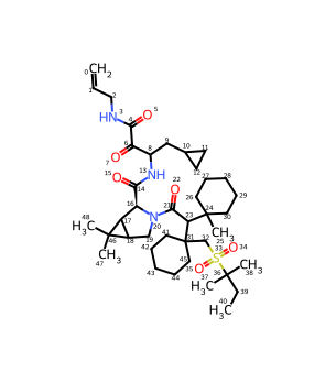 C=CCNC(=O)C(=O)C(CC1CC1)NC(=O)[C@@H]1C2C(CN1C(=O)C(C1(C)CCCCC1)C1(CS(=O)(=O)C(C)(C)CC)CCCCC1)C2(C)C